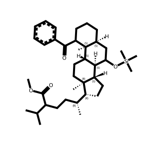 COC(=O)C(CC[C@@H](C)[C@H]1CC[C@H]2[C@@H]3C(O[Si](C)(C)C)C[C@@H]4CCCC(C(=O)c5ccccc5)[C@]4(C)[C@H]3CC[C@]12C)C(C)C